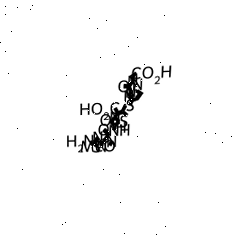 CON=C(C(=O)NC1C(=O)N2C(C(=O)O)=C(CSc3ccc4nn(CC(=O)O)c(=O)n4n3)CS[C@@H]12)c1nsc(N)n1